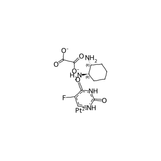 N[C@@H]1CCCC[C@H]1N.O=C([O-])C(=O)[O-].O=c1[nH]cc(F)c(=O)[nH]1.[Pt+2]